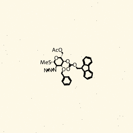 CS[C@@H]1O[C@H](COC(C)=O)[C@@H](OC(=O)OCC2c3ccccc3-c3ccccc32)[C@H](OCc2ccccc2)[C@H]1N=[N+]=[N-]